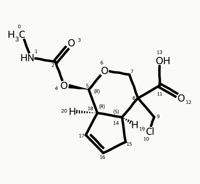 CNC(=O)O[C@H]1OCC(CCl)(C(=O)O)[C@H]2CC=C[C@@H]12